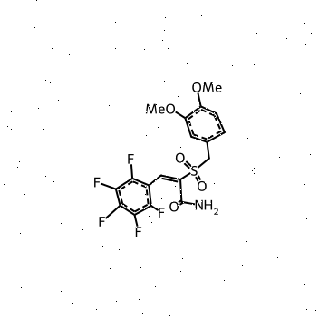 COc1ccc(CS(=O)(=O)C(=Cc2c(F)c(F)c(F)c(F)c2F)C(N)=O)cc1OC